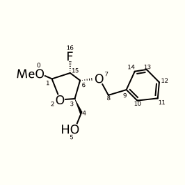 COC1O[C@H](CO)[C@@H](OCc2ccccc2)[C@H]1F